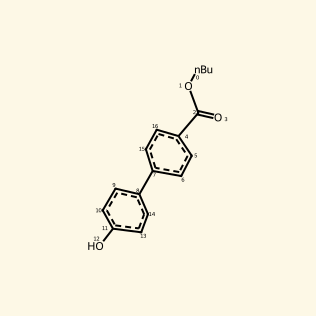 CCCCOC(=O)c1ccc(-c2ccc(O)cc2)cc1